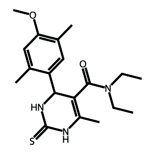 CCN(CC)C(=O)C1=C(C)NC(=S)NC1c1cc(C)c(OC)cc1C